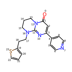 O=c1cc(-c2ccncc2)nc2n1CCCN2CCc1cccs1